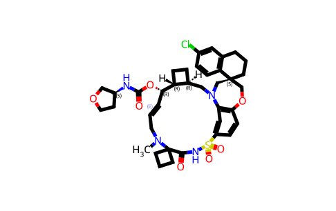 CN1C/C=C/[C@H](OC(=O)N[C@H]2CCOC2)[C@@H]2CC[C@H]2CN2C[C@@]3(CCCc4cc(Cl)ccc43)COc3ccc(cc32)S(=O)(=O)NC(=O)C12CCC2